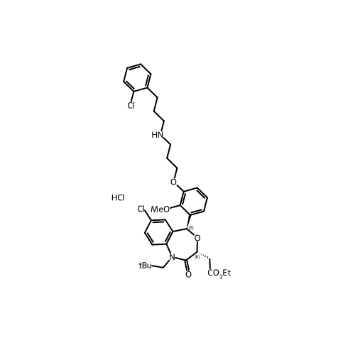 CCOC(=O)C[C@H]1O[C@H](c2cccc(OCCCNCCCc3ccccc3Cl)c2OC)c2cc(Cl)ccc2N(CC(C)(C)C)C1=O.Cl